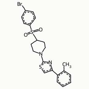 Cc1ccccc1-c1csc(N2CCC(S(=O)(=O)c3ccc(Br)cc3)CC2)n1